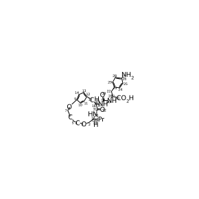 CC(C)[C@H]1COCCCCOc2ccc(cc2)C[C@@H](NC(=O)N[C@@H](Cc2ccc(N)cc2)C(=O)O)C(=O)N1